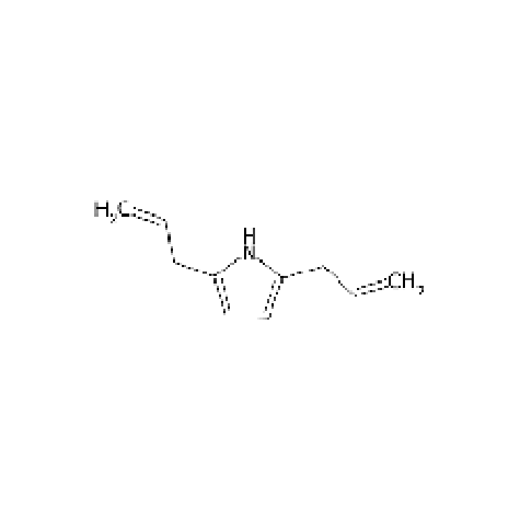 C=CCc1ccc(CC=C)[nH]1